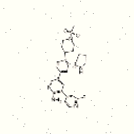 CS(=O)(=O)N1CCC(c2ccc(-c3cnc(N)c(-c4ccnc(F)c4)c3)cc2[C@@H]2CCCN2)CC1